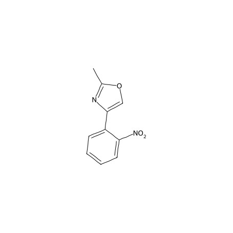 Cc1nc(-c2ccccc2[N+](=O)[O-])co1